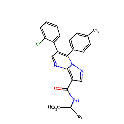 CC(C)C(NC(=O)c1cnn2c(-c3ccc(C(F)(F)F)cc3)c(-c3ccccc3Cl)cnc12)C(=O)O